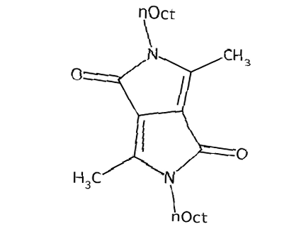 CCCCCCCCN1C(=O)C2=C(C)N(CCCCCCCC)C(=O)C2=C1C